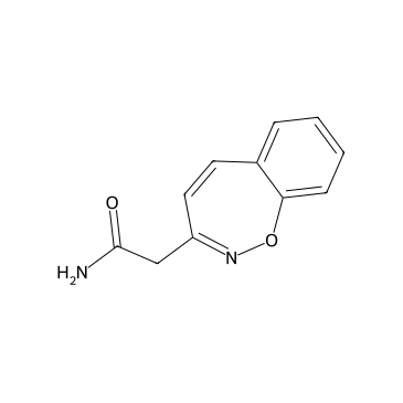 NC(=O)CC1=NOc2ccccc2C=C1